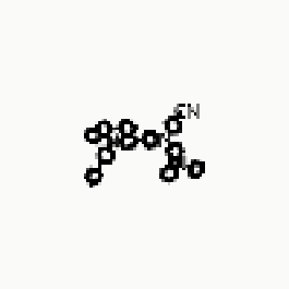 N#Cc1ccc(N(c2ccc(-c3ccc(N(c4ccc(-c5ccccc5)cc4)c4cccc5ccccc45)c4ccccc34)cc2)c2ccc3c(c2)c2ccccc2n3-c2ccccc2)cc1